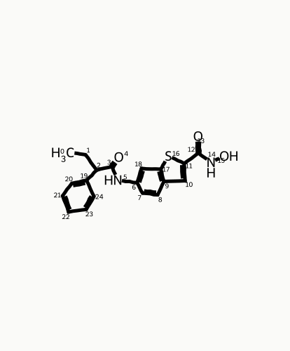 CCC(C(=O)Nc1ccc2cc(C(=O)NO)sc2c1)c1ccccc1